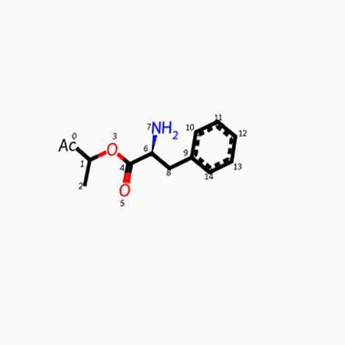 CC(=O)C(C)OC(=O)[C@@H](N)Cc1ccccc1